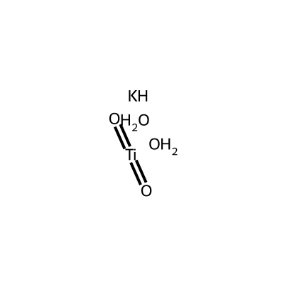 O.O.[KH].[O]=[Ti]=[O]